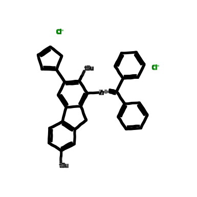 CC(C)(C)c1ccc2c(c1)Cc1c-2cc(C2=CC=CC2)c(C(C)(C)C)[c]1[Zr+2]=[C](c1ccccc1)c1ccccc1.[Cl-].[Cl-]